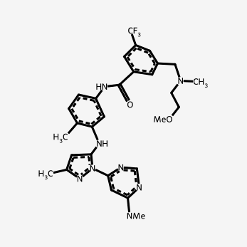 CNc1cc(-n2nc(C)cc2Nc2cc(NC(=O)c3cc(CN(C)CCOC)cc(C(F)(F)F)c3)ccc2C)ncn1